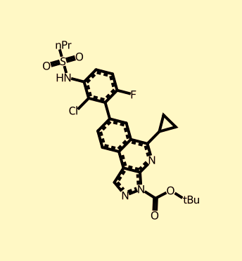 CCCS(=O)(=O)Nc1ccc(F)c(-c2ccc3c(c2)c(C2CC2)nc2c3cnn2C(=O)OC(C)(C)C)c1Cl